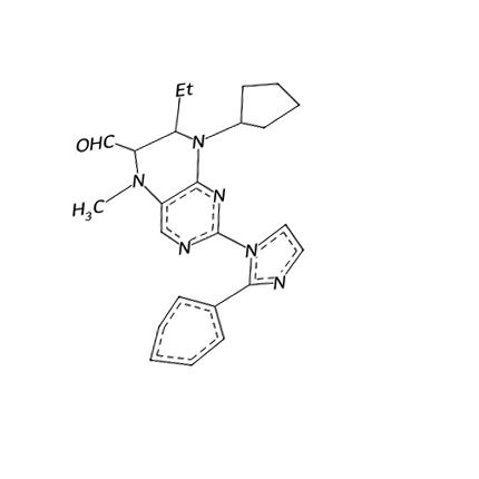 CCC1C(C=O)N(C)c2cnc(-n3ccnc3-c3ccccc3)nc2N1C1CCCC1